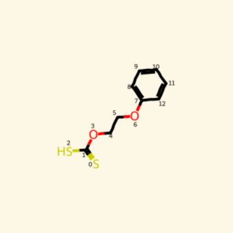 S=C(S)OCCOc1ccccc1